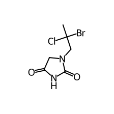 CC(Cl)(Br)CN1CC(=O)NC1=O